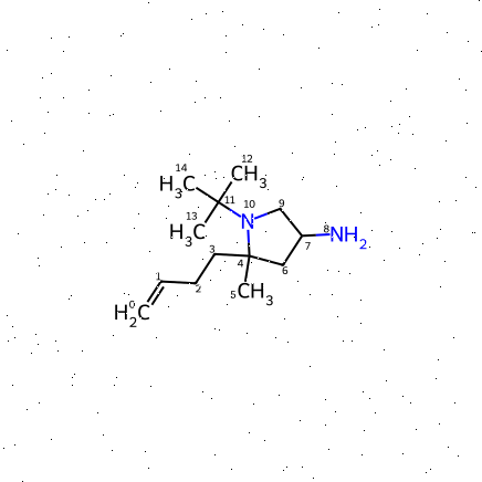 C=CCCC1(C)CC(N)CN1C(C)(C)C